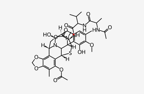 COc1c(C)cc2c(c1O)[C@@H]1C3[C@@H]4SC[C@H](NC(=O)C(NC(=O)C(C)NC(C)=O)C(C)C)C(=O)OC[C@@H](c5c6c(c(C)c(OC(C)=O)c54)OCO6)N3[C@@H](O)[C@@H](C2)N1C